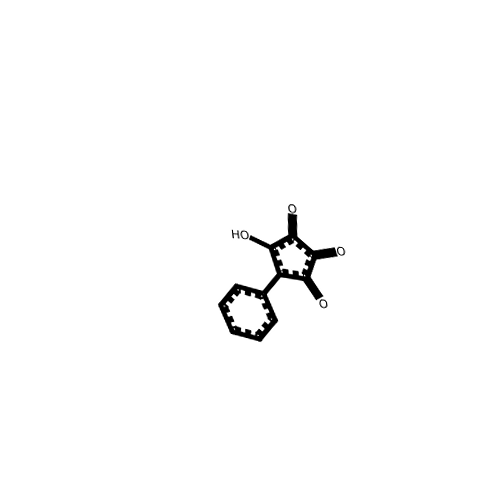 O=c1c(O)c(-c2ccccc2)c(=O)c1=O